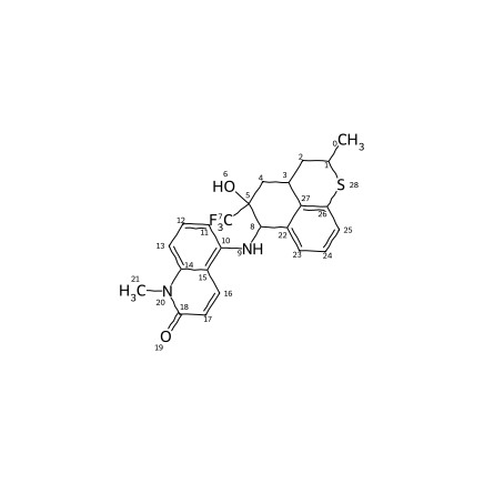 CC1CC2CC(O)(C(F)(F)F)C(Nc3cccc4c3ccc(=O)n4C)c3cccc(c32)S1